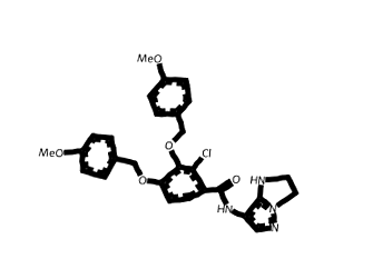 COc1ccc(COc2ccc(C(=O)Nc3cnn4c3NCC4)c(Cl)c2OCc2ccc(OC)cc2)cc1